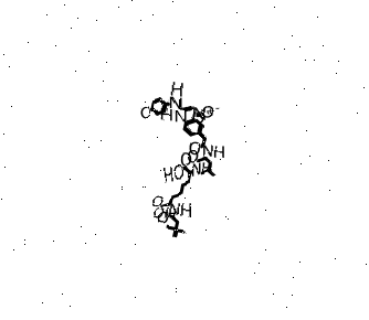 COc1ccc(N/C(=C/[N+](=O)[O-])Nc2ccc(CC(=O)NC(CC(C)C)C(=O)NC(C/C=C/CC(NC(=O)CC(C)(C)C)C(=O)O)C(=O)O)cc2)cc1